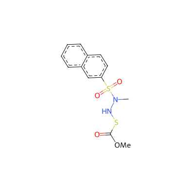 COC(=O)SNN(C)S(=O)(=O)c1ccc2ccccc2c1